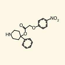 O=C(COc1ccc([N+](=O)[O-])cc1)OC1(c2ccccc2)CCNCC1